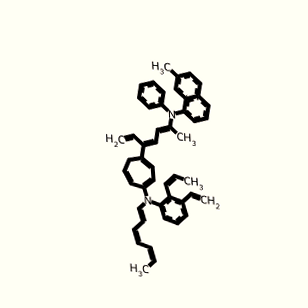 C=C/C(=C\C=C(/C)N(c1ccccc1)c1cccc2ccc(C)cc12)C1=CC=C(N(/C=C/C=C\C=C/C)c2cccc(C=C)c2/C=C\C)C=CC1